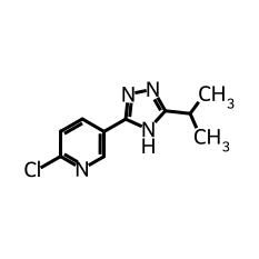 CC(C)c1nnc(-c2ccc(Cl)nc2)[nH]1